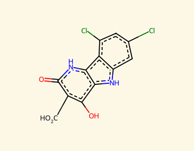 O=C(O)c1c(O)c2[nH]c3cc(Cl)cc(Cl)c3c2[nH]c1=O